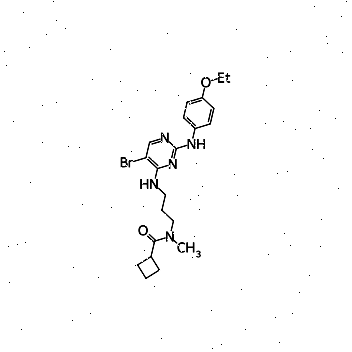 CCOc1ccc(Nc2ncc(Br)c(NCCCN(C)C(=O)C3CCC3)n2)cc1